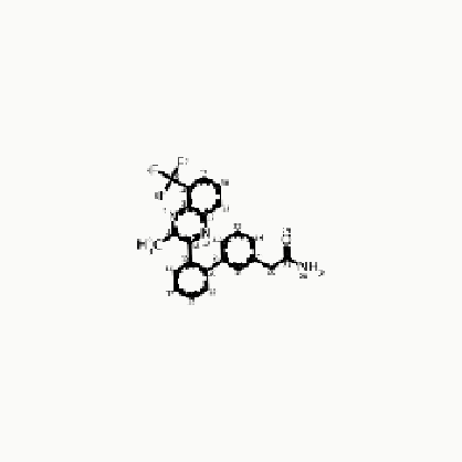 Cc1nc2c(C(F)(F)F)cccc2nc1-c1ccccc1-c1cccc(CC(N)=O)c1